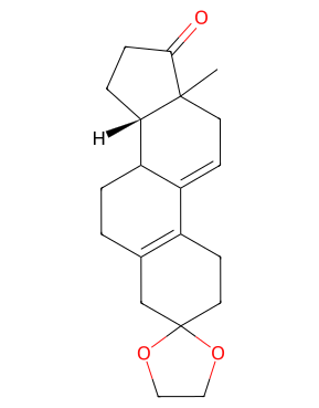 CC12CC=C3C4=C(CCC3[C@@H]1CCC2=O)CC1(CC4)OCCO1